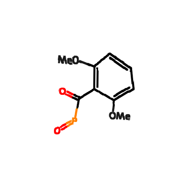 COc1cccc(OC)c1C(=O)P=O